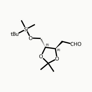 CC1(C)O[C@H](CC=O)[C@@H](CO[Si](C)(C)C(C)(C)C)O1